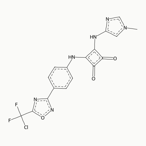 Cn1cnc(Nc2c(Nc3ccc(-c4noc(C(F)(F)Cl)n4)cc3)c(=O)c2=O)c1